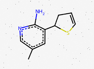 Cc1cnc(N)c(C2CC=CS2)c1